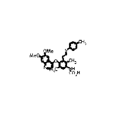 COc1cc2nccc(Oc3c(C)cc(NC(=O)O)c(C)c3CCSc3ccc(C)cc3)c2cc1OC